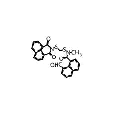 CN(SCSN1C(=O)c2cccc3cccc(c23)C1=O)C(=O)c1cccc2cccc(C=O)c12